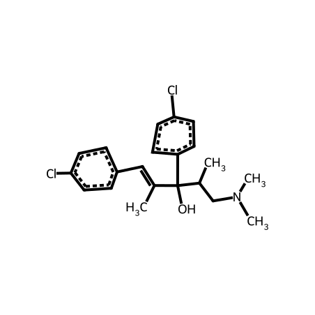 C/C(=C\c1ccc(Cl)cc1)C(O)(c1ccc(Cl)cc1)C(C)CN(C)C